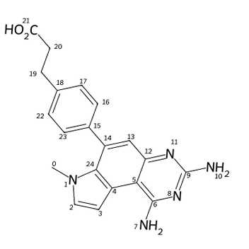 Cn1ccc2c3c(N)nc(N)nc3cc(-c3ccc(CCC(=O)O)cc3)c21